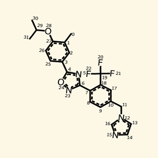 Cc1cc(-c2nc(-c3ccc(Cn4ccnc4)cc3C(F)(F)F)no2)ccc1OC(C)C